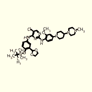 COc1cc(N2CCC(N3CCN(C)CC3)CC2)ccc1Nc1ncc(Cl)c(Nc2ccc(O[Si](C)(C)C(C)(C)C)c(C3OCCO3)c2)n1